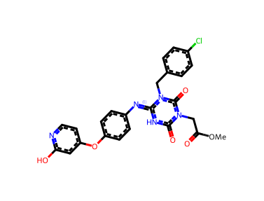 COC(=O)Cn1c(=O)[nH]/c(=N\c2ccc(Oc3ccnc(O)c3)cc2)n(Cc2ccc(Cl)cc2)c1=O